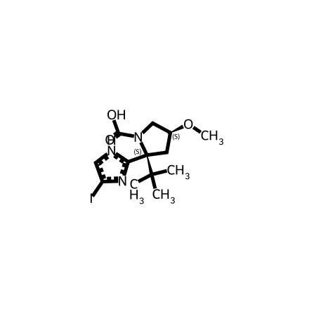 CO[C@@H]1CN(C(=O)O)[C@](c2nc(I)c[nH]2)(C(C)(C)C)C1